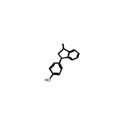 CC1CC(c2ccc(O)cc2)c2ccccc21